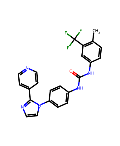 Cc1ccc(NC(=O)Nc2ccc(-n3ccnc3-c3ccncc3)cc2)cc1C(F)(F)F